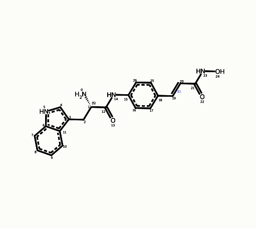 N[C@@H](Cc1c[nH]c2ccccc12)C(=O)Nc1ccc(/C=C/C(=O)NO)cc1